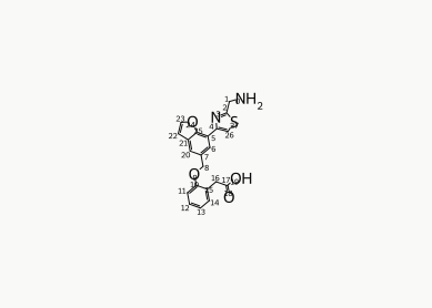 NCc1nc(-c2cc(COc3ccccc3CC(=O)O)cc3ccoc23)cs1